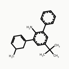 CC1C=CC=C(c2cc(C(C)(C)C)cc(-c3ccccc3)c2N)C1